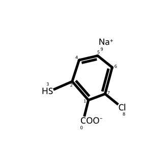 O=C([O-])c1c(S)cccc1Cl.[Na+]